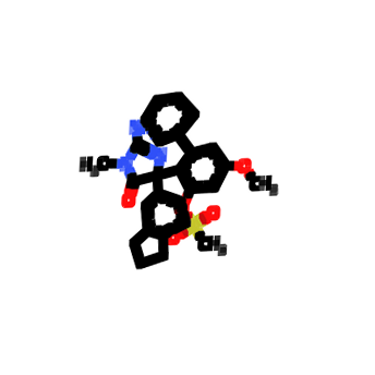 COc1cc(OS(C)(=O)=O)c(C2(c3ccc4c(c3)CCC4)N=C(N)N(C)C2=O)c(-c2ccccc2)c1